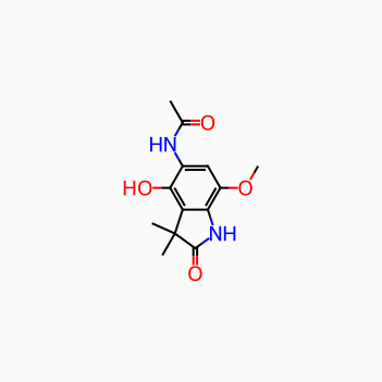 COc1cc(NC(C)=O)c(O)c2c1NC(=O)C2(C)C